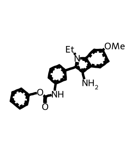 CCn1c(-c2cccc(NC(=O)Oc3ccccc3)c2)c(N)c2ccc(OC)cc21